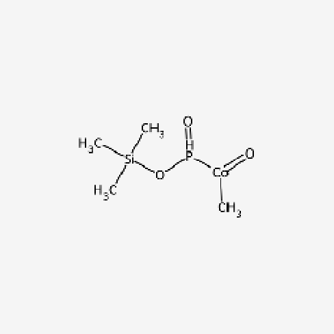 [CH3][Co](=[O])[PH](=O)O[Si](C)(C)C